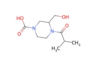 CC(C)C(=O)N1CCN(C(=O)O)CC1CO